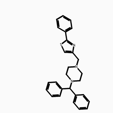 c1ccc(-c2nc(CN3CCN(C(c4ccccc4)c4ccccc4)CC3)cs2)cc1